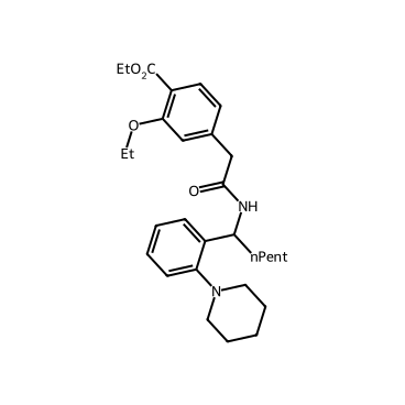 CCCCCC(NC(=O)Cc1ccc(C(=O)OCC)c(OCC)c1)c1ccccc1N1CCCCC1